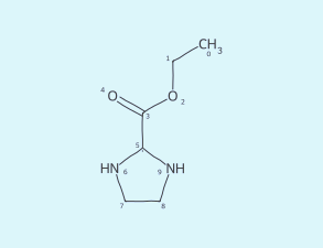 CCOC(=O)[C]1NCCN1